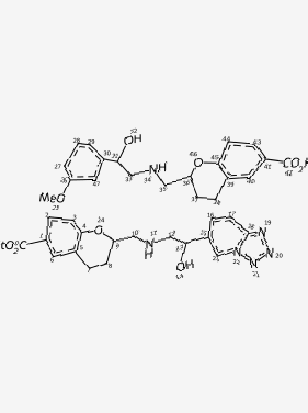 CCOC(=O)c1ccc2c(c1)CCC(CNCC(O)c1ccc3nnnn3c1)O2.COc1cccc(C(O)CNCC2CCc3cc(C(=O)O)ccc3O2)c1